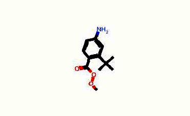 COOC(=O)c1ccc(N)cc1C(C)(C)C